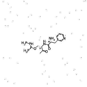 CC(=O)[C@H](COP(P)PP)NC(=O)[C@H](N)Cc1cccnc1